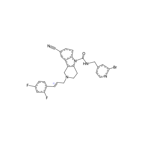 N#Cc1ccc2c(c1)c1c(n2C(=O)NCc2ccnc(Br)c2)CCN(C/C=C/c2ccc(F)cc2F)C1